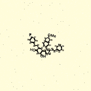 COC1Cc2ccc(-n3c(SCc4cccnc4)nnc3-c3cc(CCc4ccc(F)cc4)c(O)cc3O)cc2C1